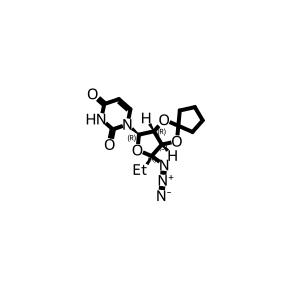 CC[C@@]1(N=[N+]=[N-])O[C@@H](n2ccc(=O)[nH]c2=O)[C@@H]2OC3(CCCC3)O[C@@H]21